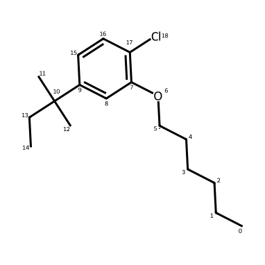 CCCCC[CH]Oc1cc(C(C)(C)CC)ccc1Cl